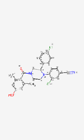 Cc1cc(O)cc(C)c1C(=O)N1CCN(c2ccc(C#N)cc2Cl)C(c2ccc(Cl)cc2)C1